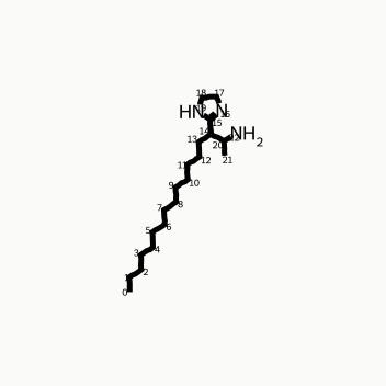 CCCCCCCCCCCCCCC(C1=NCCN1)C(C)N